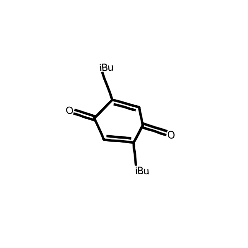 CCC(C)C1=CC(=O)C(C(C)CC)=CC1=O